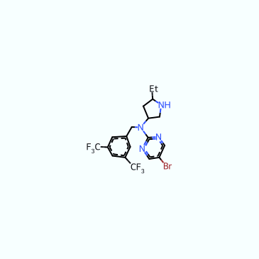 CCC1CC(N(Cc2cc(C(F)(F)F)cc(C(F)(F)F)c2)c2ncc(Br)cn2)CN1